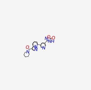 O=C(c1cnn2c(-c3cncc(-c4noc(=O)[nH]4)c3)cccc12)N1CCCCC1